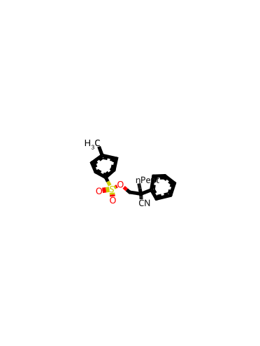 CCCCCC(C#N)(COS(=O)(=O)c1ccc(C)cc1)c1ccccc1